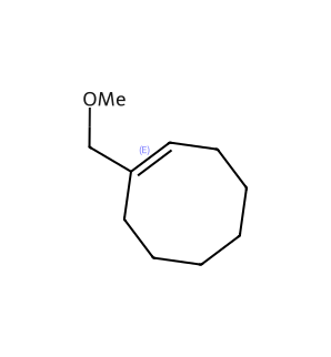 COC/C1=C/CCCCCC1